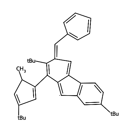 CC1C=C(C(C)(C)C)C=C1c1c(C(C)(C)C)c(=Cc2ccccc2)cc2c1=[C]c1cc(C(C)(C)C)ccc1-2